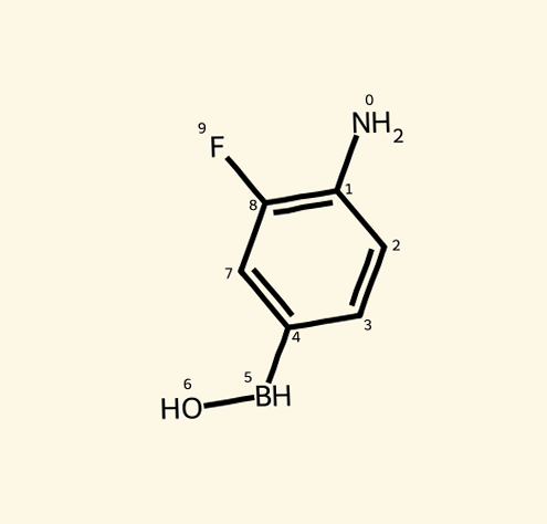 Nc1ccc(BO)cc1F